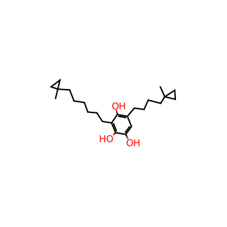 CC1(CCCCCCc2c(O)c(O)cc(CCCCC3(C)CC3)c2O)CC1